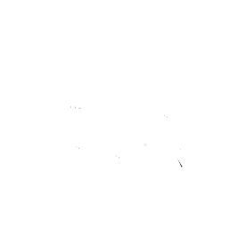 COc1ccccc1N1CCN(C(=O)[C@@H]2CN(S(=O)(=O)c3ccc(Cl)s3)C[C@H]2c2ccccc2)CC1